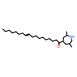 CCCCCCC/C=C/CCCCCCCCC(=O)C1CC(C)CNC(C)C1